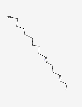 CC/C=C/CC/C=C/CCCCCCCCO